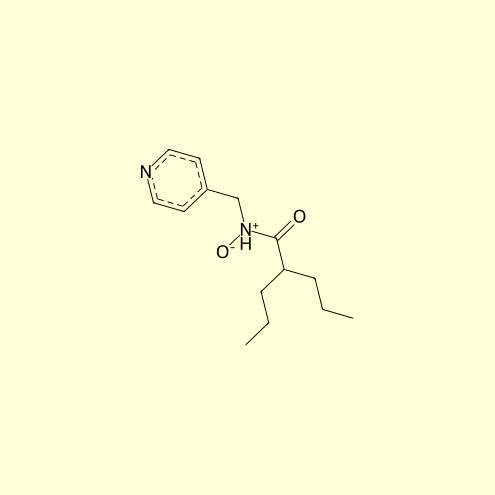 CCCC(CCC)C(=O)[NH+]([O-])Cc1ccncc1